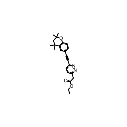 CCOC(=O)Cc1ccc(C#Cc2ccc3c(c2)C(C)(C)CC(C)(C)O3)nn1